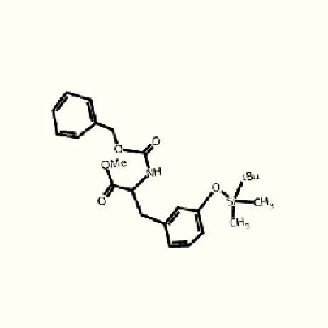 COC(=O)C(Cc1cccc(O[Si](C)(C)C(C)(C)C)c1)NC(=O)OCc1ccccc1